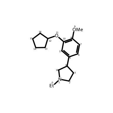 CCN1[CH]CC(c2ccc(OC)c(OC3CCCC3)c2)C1